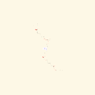 CCCCCCOC(=O)CCCCOC(=O)OCCNCCOC(=O)OCCCCC(=O)OCCCCCC